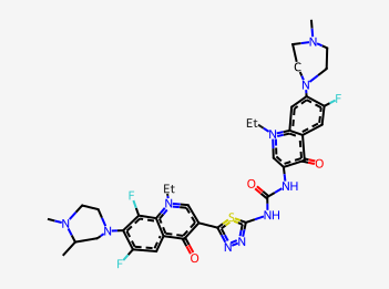 CCn1cc(NC(=O)Nc2nnc(-c3cn(CC)c4c(F)c(N5CCN(C)C(C)C5)c(F)cc4c3=O)s2)c(=O)c2cc(F)c(N3CCN(C)CC3)cc21